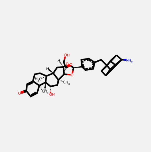 C[C@@]12CCC3=CC(=O)C=C[C@]3(C)[C@H]1[C@@H](O)C[C@@]1(C)[C@H]2C[C@H]2O[C@@H](c3ccc(CC45C6C7C4C4C5C6C74N)cc3)O[C@]21C(=O)CO